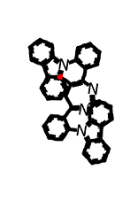 CC1=NC(c2ccccc2-n2c3ccccc3c3ccccc32)=C(C)CC(c2ccccc2-n2c3ccccc3c3ccccc32)=N1